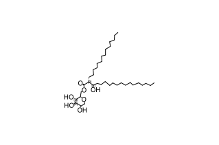 CCCCCCCCCCCCCCC[C@@H](O)[C@@H](CCCCCCCCCCCCCC)C(=O)OCC1OCC(O)[C@@H](O)[C@@H]1O